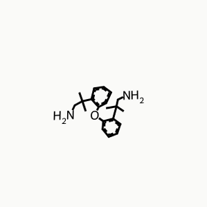 CC(C)(CN)c1ccccc1Oc1ccccc1C(C)(C)CN